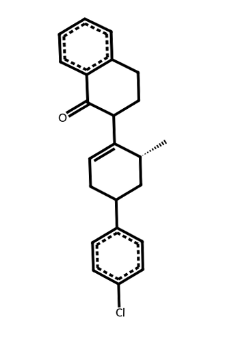 C[C@@H]1CC(c2ccc(Cl)cc2)CC=C1C1CCc2ccccc2C1=O